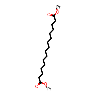 CC(C)OC(=O)CCCCCCCCCCCCCCC(=O)OC(C)C